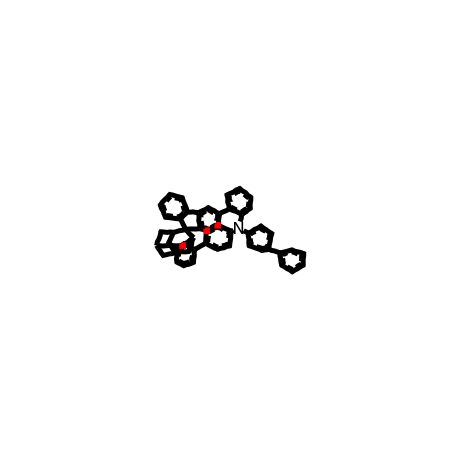 c1ccc(-c2ccc(N(c3ccc(-c4ccccc4)cc3)c3ccccc3-c3ccc4c(c3)-c3ccccc3C43C4CC5CC(C4)CC3C5)cc2)cc1